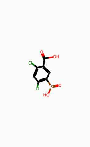 O=C(O)c1cc(S(=O)O)c(Cl)cc1Cl